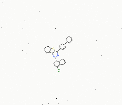 Clc1ccc(-c2nc(-c3ccc(-c4ccccc4)cc3)c3sc4ccccc4c3n2)c2ccccc12